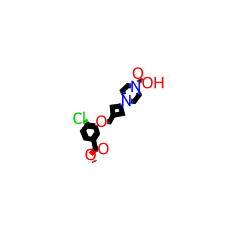 COC(=O)c1ccc(Cl)c(OCC2CC(N3CCN(C(=O)O)CC3)C2)c1